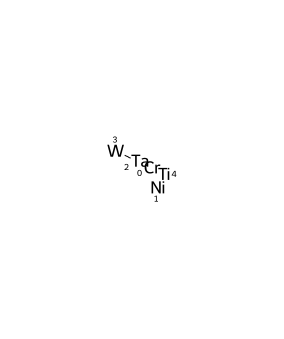 [Cr].[Ni].[Ta][W].[Ti]